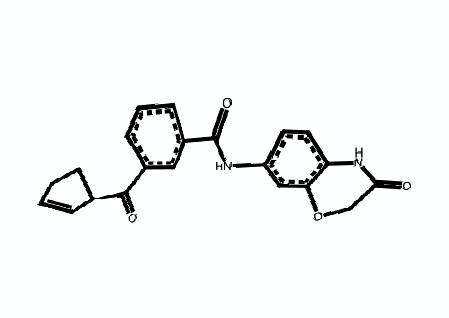 O=C1COc2cc(NC(=O)c3cccc(C(=O)[C@H]4C=CCC4)c3)ccc2N1